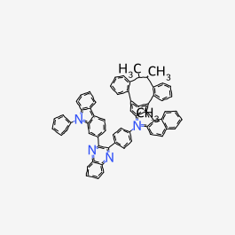 Cc1c2cc3c(c1-c1ccccc1[C@H](C)C(C)c1ccccc1-2)c1c2ccccc2ccc1n3-c1ccc(-c2nc3ccccc3nc2-c2ccc3c4ccccc4n(-c4ccccc4)c3c2)cc1